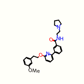 COc1cccc(CCOc2cccc(-c3cccc(C(=O)NCCN4CCCC4)c3)n2)c1